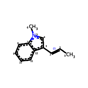 C/C=C/c1cn(C)c2ccccc12